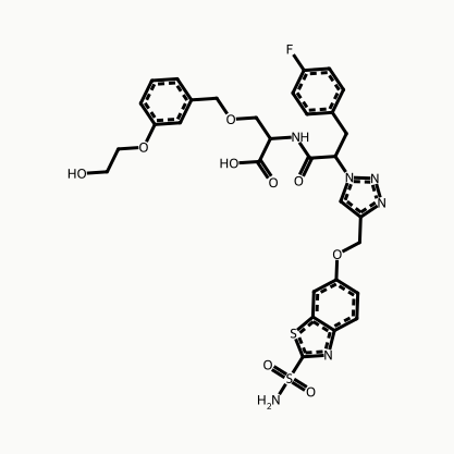 NS(=O)(=O)c1nc2ccc(OCc3cn(C(Cc4ccc(F)cc4)C(=O)NC(COCc4cccc(OCCO)c4)C(=O)O)nn3)cc2s1